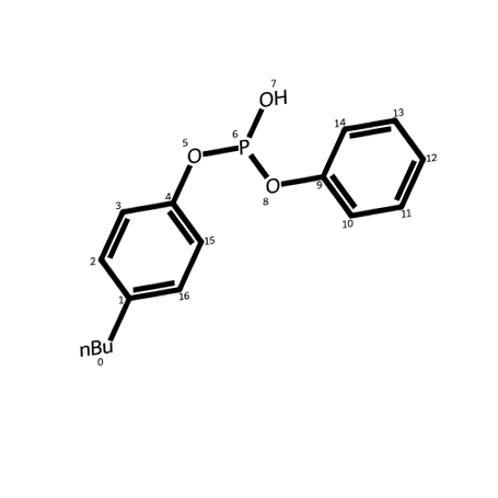 CCCCc1ccc(OP(O)Oc2ccccc2)cc1